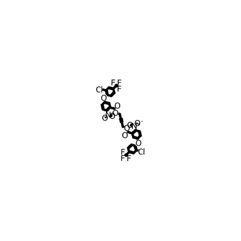 O=C(OCC#CCOC(=O)c1cc(Oc2ccc(C(F)(F)F)cc2Cl)ccc1[N+](=O)[O-])c1cc(Oc2ccc(C(F)(F)F)cc2Cl)ccc1[N+](=O)[O-]